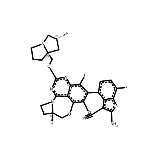 N#Cc1c(N)sc2c(F)ccc(-c3c(Cl)c4c5c(nc(OC[C@@]67CCCN6C[C@H](F)C7)nc5c3F)N3CC[C@H]3CO4)c12